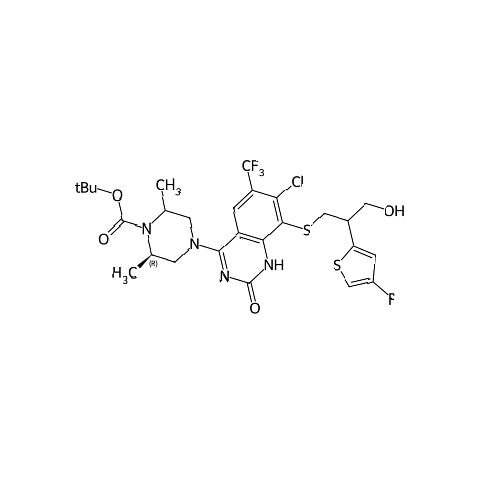 CC1CN(c2nc(=O)[nH]c3c(SCC(CO)c4cc(F)cs4)c(Cl)c(C(F)(F)F)cc23)C[C@@H](C)N1C(=O)OC(C)(C)C